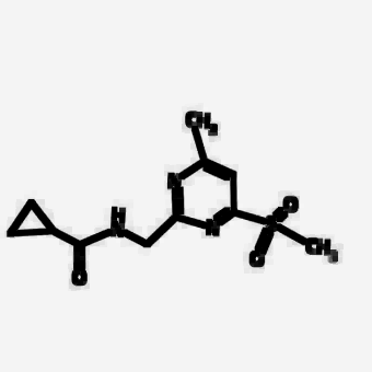 Cc1cc(S(C)(=O)=O)nc(CNC(=O)C2CC2)n1